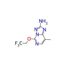 Cc1cnc(OCC(F)(F)F)n2nc(N)nc12